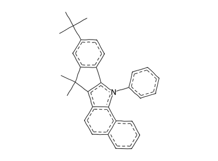 CC(C)(C)c1ccc2c(c1)C(C)(C)c1c-2n(-c2ccccc2)c2c1ccc1ccccc12